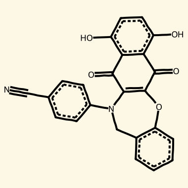 N#Cc1ccc(N2Cc3ccccc3OC3=C2C(=O)c2c(O)ccc(O)c2C3=O)cc1